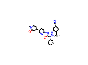 C[C@H](CNC(C(=O)Nc1ccc(-c2ccn(C)c(=O)c2)cn1)c1ccccc1)c1ccc(C#N)cc1